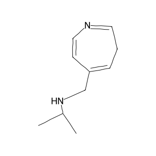 CC(C)NCC1=CCC=NC=C1